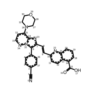 N#Cc1ccc(-c2c(C=Cc3ccc4c(C(=O)O)cccc4n3)nc3c(N4CCOCC4)ccnn23)cc1